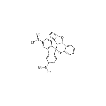 CCN(CC)c1ccc2c(c1)-c1cc(N(CC)CC)ccc1C21Oc2ccccc2C2Oc3ccccc3C21